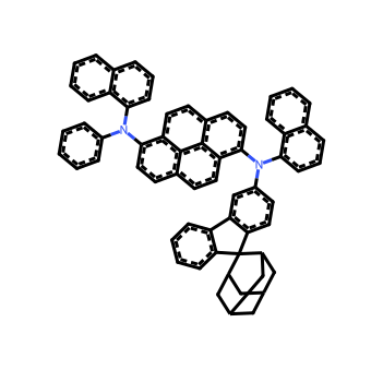 c1ccc(N(c2cccc3ccccc23)c2ccc3ccc4c(N(c5ccc6c(c5)-c5ccccc5C65C6CC7CC(C6)CC5C7)c5cccc6ccccc56)ccc5ccc2c3c54)cc1